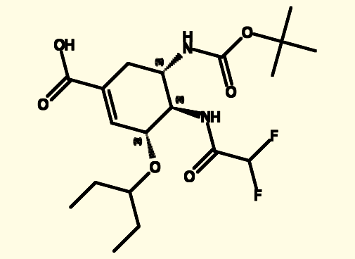 CCC(CC)O[C@@H]1C=C(C(=O)O)C[C@H](NC(=O)OC(C)(C)C)[C@H]1NC(=O)C(F)F